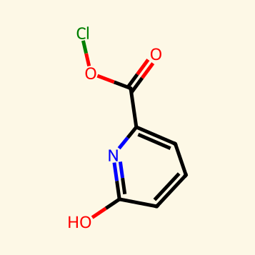 O=C(OCl)c1cccc(O)n1